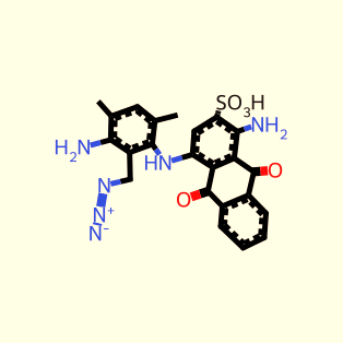 Cc1cc(C)c(Nc2cc(S(=O)(=O)O)c(N)c3c2C(=O)c2ccccc2C3=O)c(CN=[N+]=[N-])c1N